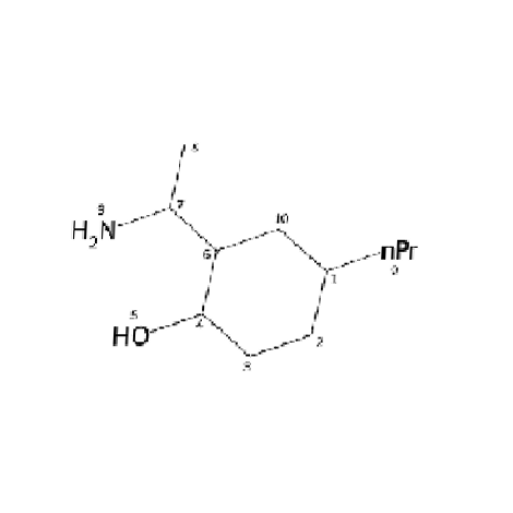 CCCC1CCC(O)C(C(C)N)C1